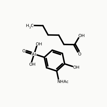 CC(=O)Nc1cc([As](=O)(O)O)ccc1O.CCCCCC(=O)O